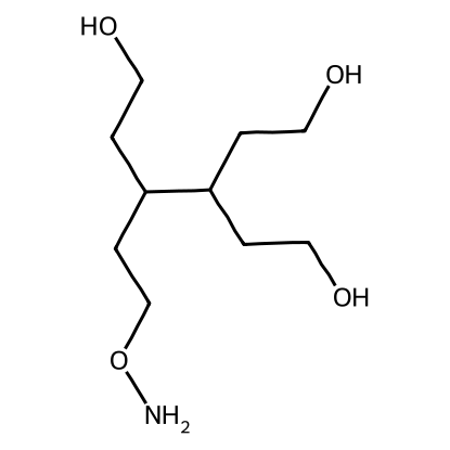 NOCCC(CCO)C(CCO)CCO